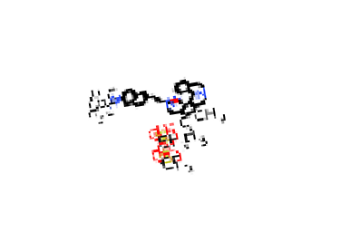 Cc1c(C)c2c(c3c1CC[n+]1ccc4ccccc4c1-3)-c1cccc(/C=C/c3ccc4cc(N(C)C)ccc4c3)[n+]1CC2.O=S(=O)([O-])C(F)(F)F.O=S(=O)([O-])C(F)(F)F